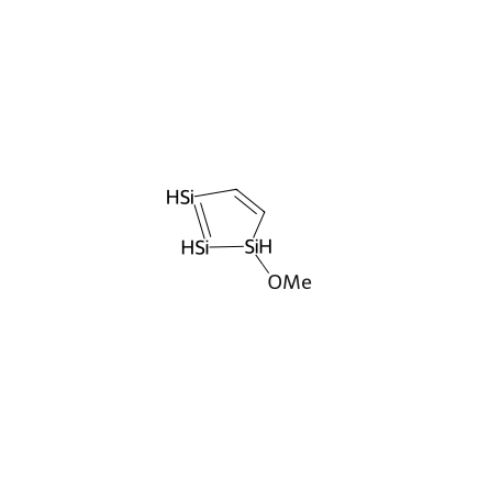 CO[SiH]1C=C[SiH]=[SiH]1